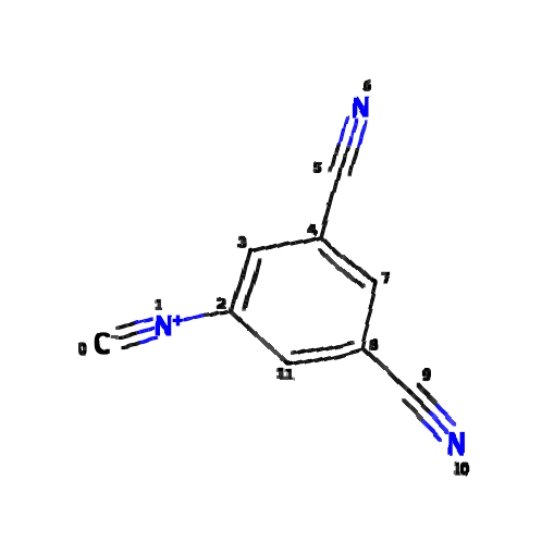 [C-]#[N+]c1cc(C#N)cc(C#N)c1